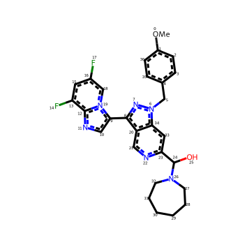 COc1ccc(Cn2nc(-c3cnc4c(F)cc(F)cn34)c3cnc(C(O)N4CCCCCC4)cc32)cc1